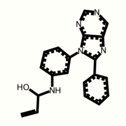 C=CC(O)Nc1cccc(-n2c(-c3ccccc3)nc3cncnc32)c1